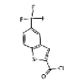 O=C(Cl)c1cc2cc(C(F)(F)F)ccc2s1